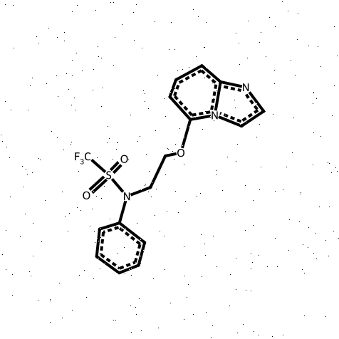 O=S(=O)(N(CCOc1cccc2nccn12)c1ccccc1)C(F)(F)F